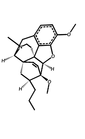 CCC[C@H]1C[C@@]23C=C[C@]1(OC)[C@@H]1Oc4c(OC)ccc5c4[C@@]12CCN(C)[C@@H]3C5